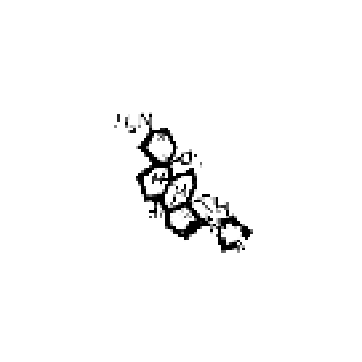 C[C@]12CC[C@@H](N)CC1CC[C@@H]1[C@@H]2CC[C@]2(C)C(n3ccnc3)=CC[C@@H]12